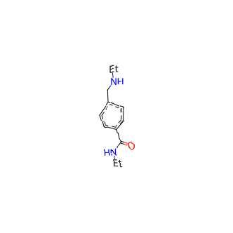 CCNCc1ccc(C(=O)NCC)cc1